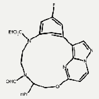 CCCC1COc2ccn3ncc(c3n2)-c2cc(F)cc(c2)N(C(=O)OCC)CCN1C=O